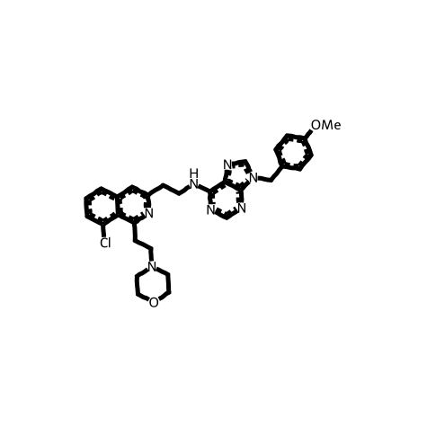 COc1ccc(Cn2cnc3c(NCCc4cc5cccc(Cl)c5c(CCN5CCOCC5)n4)ncnc32)cc1